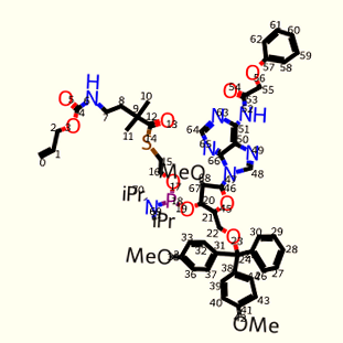 C=CCOC(=O)NCCC(C)(C)C(=O)SCCOP(OC1C(COC(c2ccccc2)(c2ccc(OC)cc2)c2ccc(OC)cc2)OC(n2cnc3c(NC(=O)COc4ccccc4)ncnc32)C1OC)N(C(C)C)C(C)C